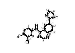 Fc1ccc(Nc2ncnc3ccc(-c4ncc[nH]4)cc23)cc1Cl